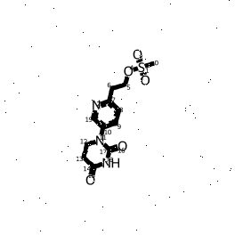 CS(=O)(=O)OCCc1ccc(N2CCC(=O)NC2=O)cn1